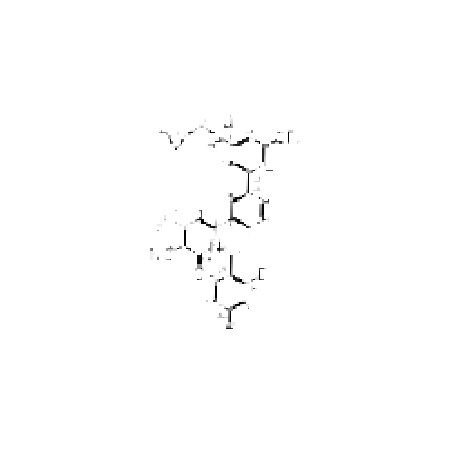 N#Cc1c(C(F)(F)F)cc(-c2cccc(-c3cc(C(F)(F)F)cc(S(=O)(=O)CC4CC4)c3)c2)n(Cc2ccc(F)cc2F)c1=O